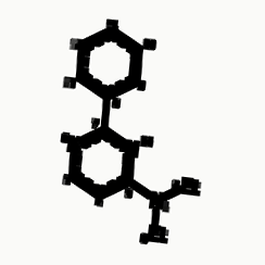 CCN(CC)c1ccnc(-c2ccccc2)n1